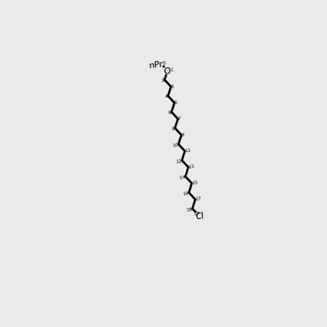 CCCOCCCCCCCCCCCCCCCCCCl